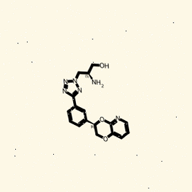 N[C@H](CO)Cn1nnc(-c2cccc([C@@H]3COc4cccnc4O3)c2)n1